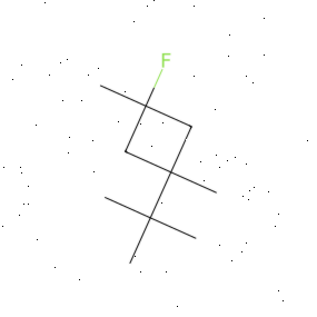 CC1(F)CC(C)(C(C)(C)C)C1